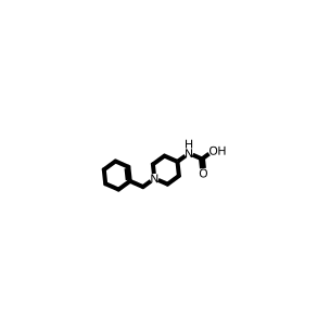 O=C(O)NC1CCN(CC2=CCCCC2)CC1